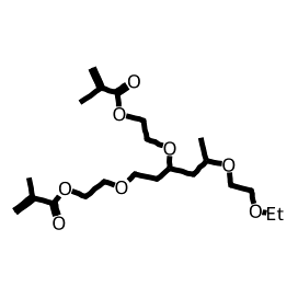 C=C(C)C(=O)OCCOCCC(CC(C)OCCOCC)OCCOC(=O)C(=C)C